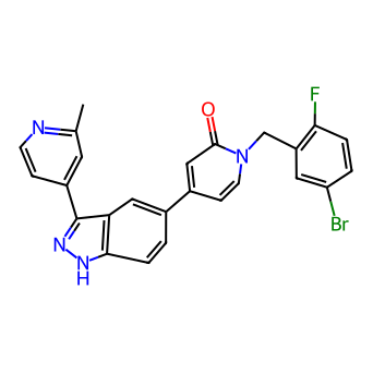 Cc1cc(-c2n[nH]c3ccc(-c4ccn(Cc5cc(Br)ccc5F)c(=O)c4)cc23)ccn1